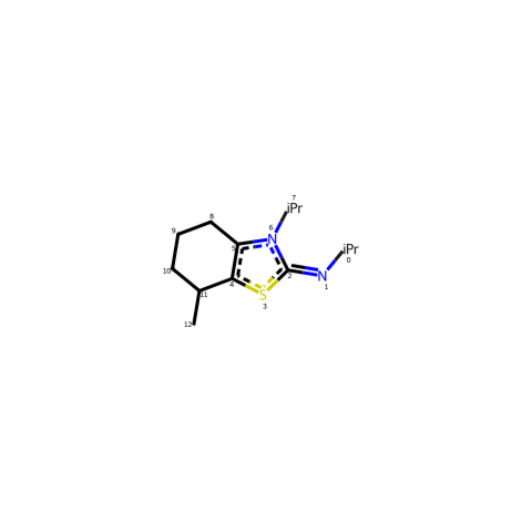 CC(C)/N=c1/sc2c(n1C(C)C)CCCC2C